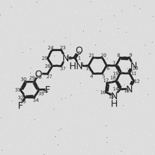 O=C(NC1CCC(c2ccnc3cnc4[nH]ccc4c23)CC1)N1CCCC(COc2ccc(F)cc2F)C1